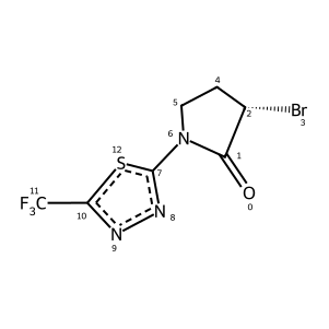 O=C1[C@@H](Br)CCN1c1nnc(C(F)(F)F)s1